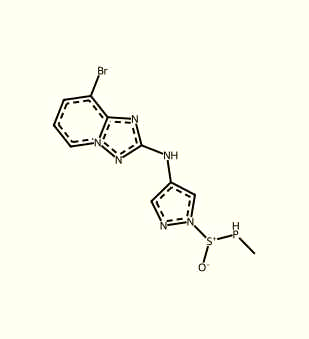 CP[S+]([O-])n1cc(Nc2nc3c(Br)cccn3n2)cn1